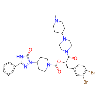 CN1CCC(N2CCN(C(=O)[C@@H](Cc3ccc(Br)c(Br)c3)OC(=O)N3CCC(n4nc(-c5ccccc5)[nH]c4=O)CC3)CC2)CC1